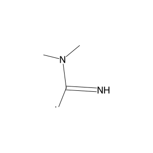 [CH2]C(=N)N(C)C